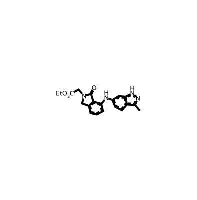 CCOC(=O)CN1Cc2cccc(Nc3ccc4c(C)n[nH]c4c3)c2C1=O